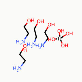 NCCO.NCCO.NCCO.NCCO.[OH][Ti]([OH])([OH])[OH]